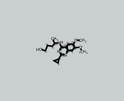 COc1cc2nc(C3CC3)nc(NC(C)CCCO)c2cc1OC